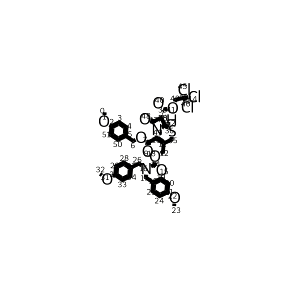 COc1ccc(COC(=O)C2=C(COC(=O)N(Cc3ccc(OC)cc3)Cc3ccc(OC)cc3)CS[C@H]3[C@@H](C(=O)OCC(Cl)(Cl)Cl)C(=O)N23)cc1